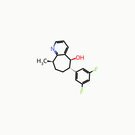 C[C@@H]1CC[C@@H](c2cc(F)cc(F)c2)[C@H](O)c2cccnc21